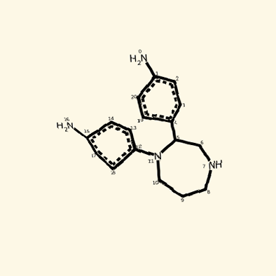 Nc1ccc(C2CNCCCN2c2ccc(N)cc2)cc1